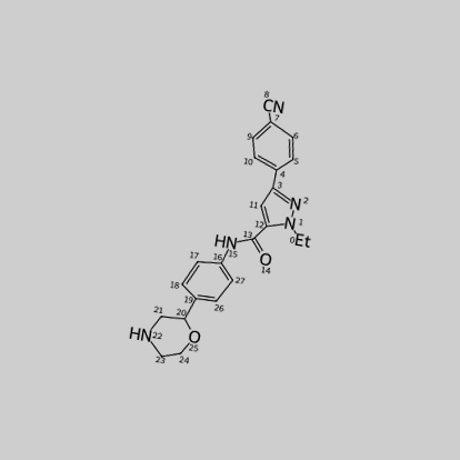 CCn1nc(-c2ccc(C#N)cc2)cc1C(=O)Nc1ccc(C2CNCCO2)cc1